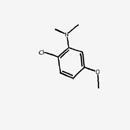 COc1[c]cc(Cl)c(N(C)C)c1